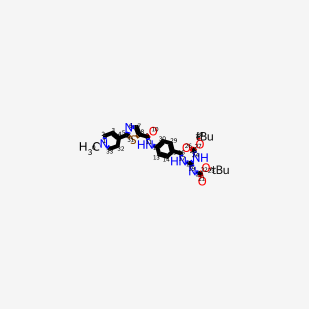 CN1CC=C(c2ncc(C(=O)Nc3ccc(CNC(=NC(=O)OC(C)(C)C)NC(=O)OC(C)(C)C)cc3)s2)CC1